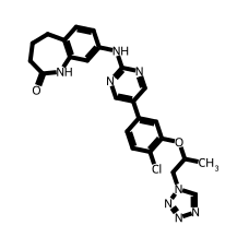 CC(Cn1cnnn1)Oc1cc(-c2cnc(Nc3ccc4c(c3)NC(=O)CCC4)nc2)ccc1Cl